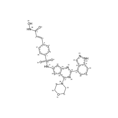 O=C(/C=C/c1ccc(S(=O)(=O)Nc2cc3nc(-c4cccc5[nH]ncc45)nc(N4CCOCC4)c3s2)cc1)NO